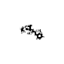 CC(C)[C@H](C[C@H](O)[C@@H](N)Cc1ccccc1)NC(=O)OC(C)(C)C